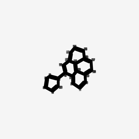 [c]1ccc2c(-c3ccccc3)cc3cccc4ccc1c2c43